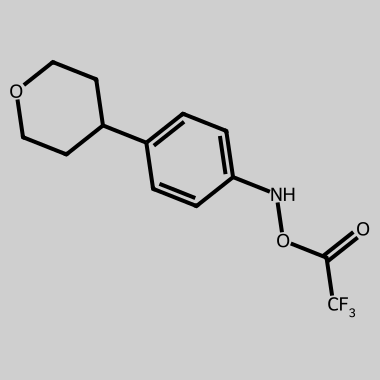 O=C(ONc1ccc(C2CCOCC2)cc1)C(F)(F)F